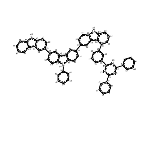 c1ccc(-c2nc(-c3ccccc3)nc(-c3cccc(-c4cccc5oc6ccc(-c7ccc8c(c7)c7cc(-c9ccc%10sc%11ccccc%11c%10c9)ccc7n8-c7ccccc7)cc6c45)c3)n2)cc1